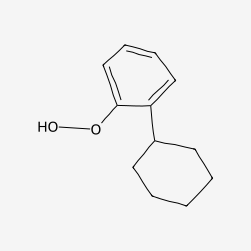 OOc1ccccc1C1CCCCC1